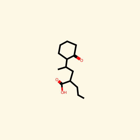 CCCC(CC(C)C1CCCCC1=O)C(=O)O